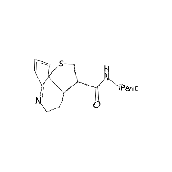 CCCC(C)NC(=O)C1CSC23C=CC=CC2=NCCC13